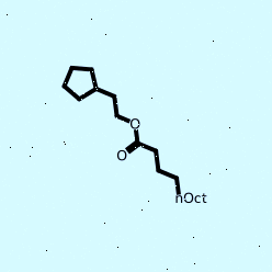 [CH2]CCCCCCCCCCC(=O)OCCC1CCCC1